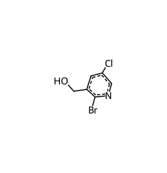 OCc1cc(Cl)cnc1Br